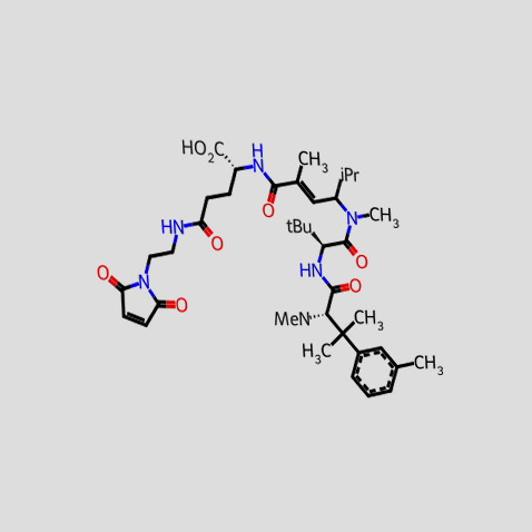 CN[C@H](C(=O)N[C@H](C(=O)N(C)C(/C=C(\C)C(=O)N[C@H](CCC(=O)NCCN1C(=O)C=CC1=O)C(=O)O)C(C)C)C(C)(C)C)C(C)(C)c1cccc(C)c1